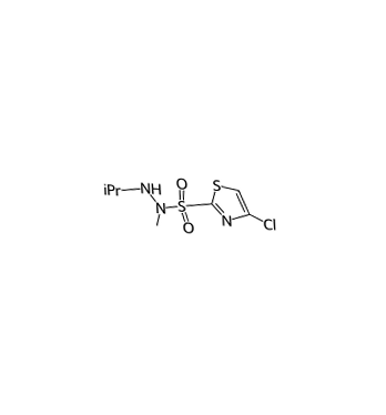 CC(C)NN(C)S(=O)(=O)c1nc(Cl)cs1